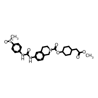 COC(=O)CC1CCC(OC(=O)N2CCc3cc(NC(=O)Nc4ccc([S+](C)[O-])cc4)ccc3C2)CC1